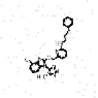 Cn1nnnc1-n1c(OCc2cccc(NCCOc3ccccc3)n2)nc2c(Cl)cccc21